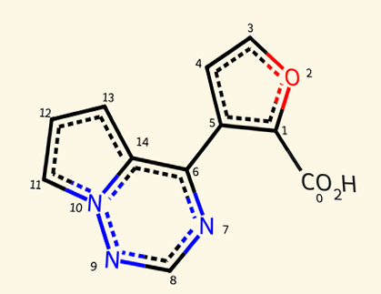 O=C(O)c1occc1-c1ncnn2cccc12